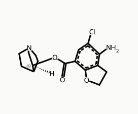 Nc1c(Cl)cc(C(=O)O[C@@H]2CN3CCC2CC3)c2c1CCO2